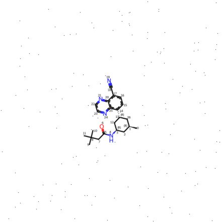 C[C@H]1C[C@@H](NC(=O)CC(C)(C)C)C[C@H](c2ccc(C#N)c3nccnc23)C1